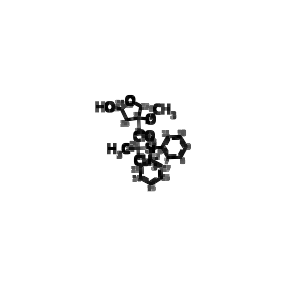 COC1(CO[Si](c2ccccc2)(c2ccccc2)C(C)(C)C)COC(O)C1